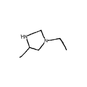 CCN1CNC(C)C1